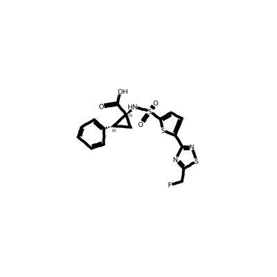 O=C(O)[C@]1(NS(=O)(=O)c2ccc(-c3nsc(CF)n3)s2)C[C@@H]1c1ccccc1